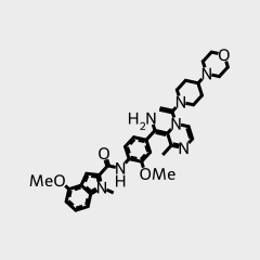 C=C(N1CCC(N2CCOCC2)CC1)N1C=CN=C(C)/C1=C(/N)c1ccc(NC(=O)c2cc3c(OC)cccc3n2C)c(OC)c1